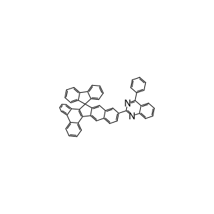 c1ccc(-c2nc(-c3ccc4cc5c(cc4c3)C3(c4ccccc4-c4ccccc43)c3c-5c4ccccc4c4ccccc34)nc3ccccc23)cc1